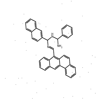 NC(NC(/N=C/c1c2ccccc2cc2c1ccc1ccccc12)c1ccc2ccccc2c1)c1ccccc1